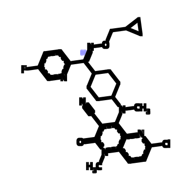 CN(c1c(C#N)c(=O)n(C)c2ccc(Cl)nc12)C1CCC(/C(=N\OCC2CC2)c2ccc(F)cn2)CC1